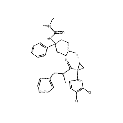 CN(C)C(=O)NC1(c2ccccc2)CCN(C[C@@H]2C[C@@]2(C(=O)N(C)Cc2ccccc2)c2ccc(Cl)c(Cl)c2)CC1